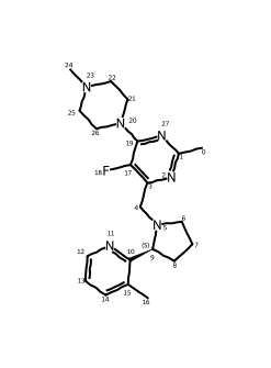 Cc1nc(CN2CCC[C@H]2c2ncccc2C)c(F)c(N2CCN(C)CC2)n1